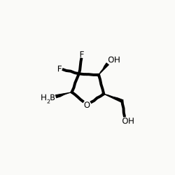 B[C@@H]1O[C@H](CO)[C@H](O)C1(F)F